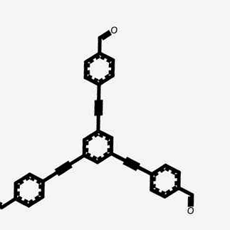 O=Cc1ccc(C#Cc2cc(C#Cc3ccc(C=O)cc3)cc(C#Cc3ccc(C=O)cc3)c2)cc1